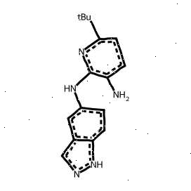 CC(C)(C)c1ccc(N)c(Nc2ccc3[nH]ncc3c2)n1